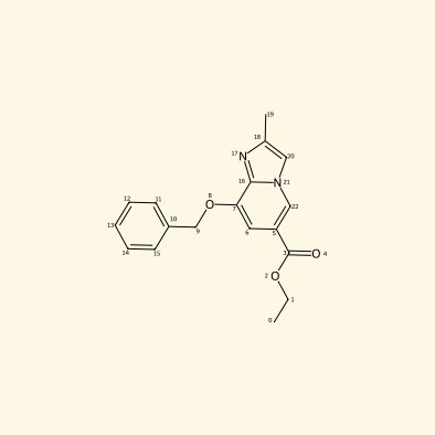 CCOC(=O)c1cc(OCc2ccccc2)c2nc(C)cn2c1